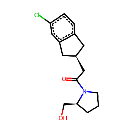 O=C(C[C@@H]1Cc2ccc(Cl)cc2C1)N1CCC[C@H]1CO